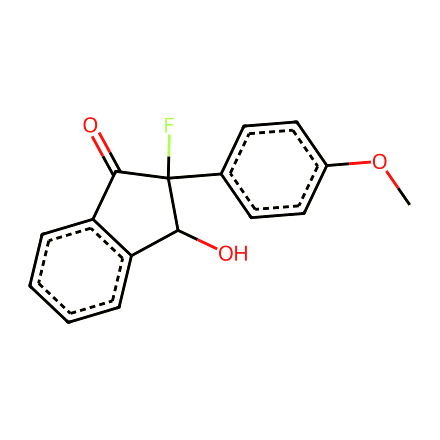 COc1ccc(C2(F)C(=O)c3ccccc3C2O)cc1